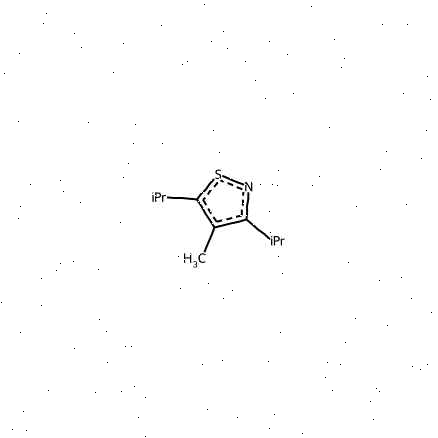 Cc1c(C(C)C)nsc1C(C)C